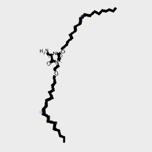 CCCCCCCC/C=C\CCCCCCCCOCC[N+](CCOCCCCCCCC/C=C\CCCCCCCC)C(=O)[C@@H](N)CN